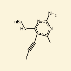 CCCCNc1nc(N)nc(C)c1C#CI